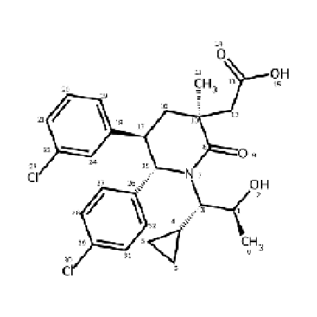 C[C@H](O)[C@H](C1CC1)N1C(=O)[C@](C)(CC(=O)O)C[C@H](c2cccc(Cl)c2)[C@H]1c1ccc(Cl)cc1